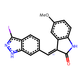 COc1ccc2c(c1)/C(=C\c1ccc3c(I)n[nH]c3c1)C(=O)N2